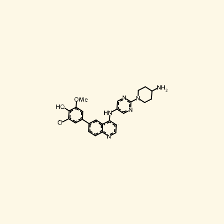 COc1cc(-c2ccc3nc[c]c(Nc4cnc(N5CCC(N)CC5)nc4)c3c2)cc(Cl)c1O